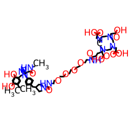 CCNC(=O)c1nnc(-c2cc(C(C)C)c(O)cc2O)n1-c1ccc(CC2CCN(C(=O)NCCOCCOCCOCCOCCNC(=O)CCC(C(=O)O)N3CCN(CC(=O)O)CCN(CC(=O)O)CCN(CC(=O)O)CC3)CC2)cc1